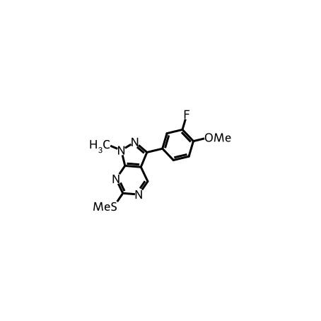 COc1ccc(-c2nn(C)c3nc(SC)ncc23)cc1F